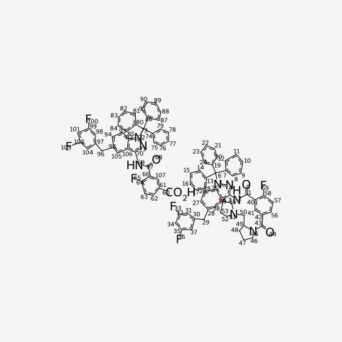 O=C(Nc1nn(C(c2ccccc2)(c2ccccc2)c2ccccc2)c2ccc(Cc3cc(F)cc(F)c3)cc12)c1cc(C(=O)N2CCCC2CN2CCCC2)ccc1F.O=C(O)c1ccc(F)c(C(=O)Nc2nn(C(c3ccccc3)(c3ccccc3)c3ccccc3)c3ccc(Cc4cc(F)cc(F)c4)cc23)c1